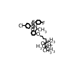 CCN(CCCCOc1ccccc1C(C)N(c1cc(F)ccc1F)S(=O)(=O)c1ccc(Cl)cc1)C(=O)NC(C)(C)C